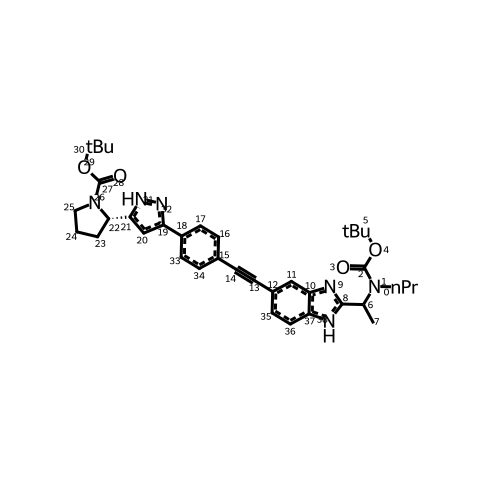 CCCN(C(=O)OC(C)(C)C)C(C)c1nc2cc(C#Cc3ccc(-c4cc([C@@H]5CCCN5C(=O)OC(C)(C)C)[nH]n4)cc3)ccc2[nH]1